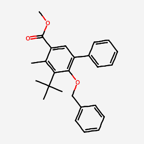 COC(=O)c1cc(-c2ccccc2)c(OCc2ccccc2)c(C(C)(C)C)c1C